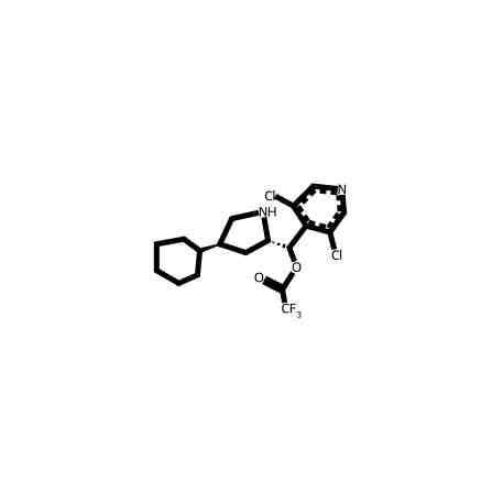 O=C(OC(c1c(Cl)cncc1Cl)[C@@H]1C[C@@H](C2CCCCC2)CN1)C(F)(F)F